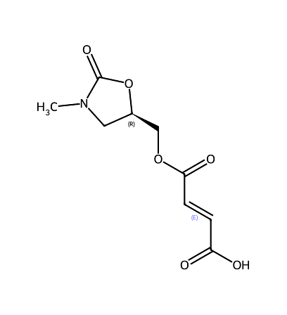 CN1C[C@H](COC(=O)/C=C/C(=O)O)OC1=O